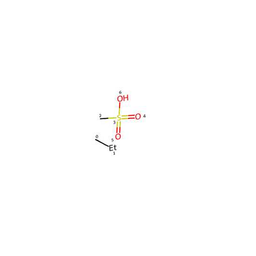 CCC.CS(=O)(=O)O